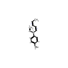 C=NN(/C=C\C=C/C)c1ccc(C(C)(C)C)cc1